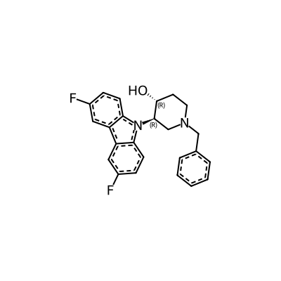 O[C@@H]1CCN(Cc2ccccc2)C[C@H]1n1c2ccc(F)cc2c2cc(F)ccc21